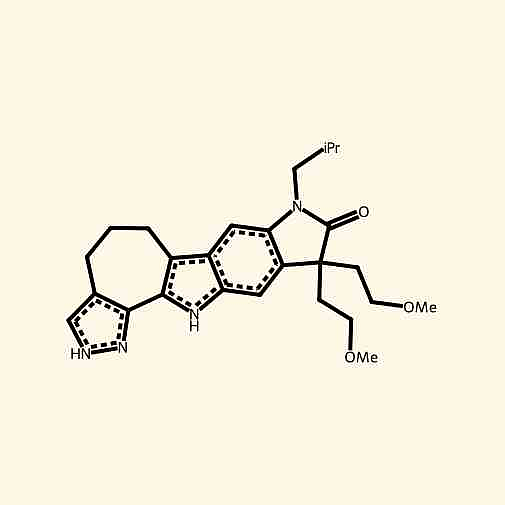 COCCC1(CCOC)C(=O)N(CC(C)C)c2cc3c4c([nH]c3cc21)-c1n[nH]cc1CCC4